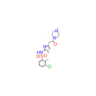 Cc1c(Cl)cccc1S(=O)(=O)Nc1nc(CC(=O)N2CCN(C)C[C@H]2C)cs1